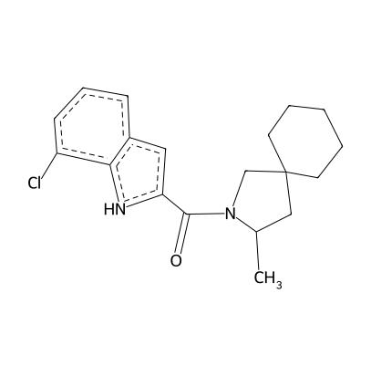 CC1CC2(CCCCC2)CN1C(=O)c1cc2cccc(Cl)c2[nH]1